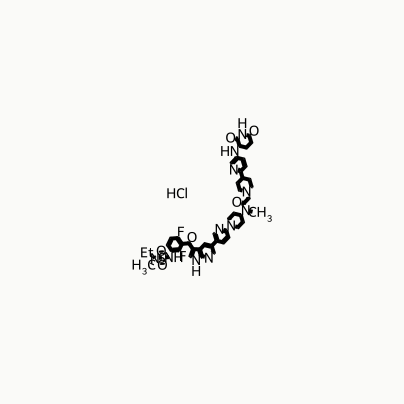 CCN(C)S(=O)(=O)Nc1ccc(F)c(C(=O)c2c[nH]c3ncc(-c4ccc(N5CCC(N(C)C(=O)CN6CCC(c7ccc(NC8CCC(=O)NC8=O)cn7)CC6)CC5)nc4)cc23)c1F.Cl